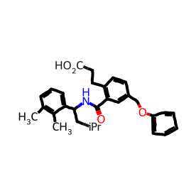 Cc1cccc(C(CC(C)C)NC(=O)c2cc(COc3ccccc3)ccc2CCC(=O)O)c1C